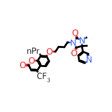 CCCc1c(OCCCCN2C(=O)N(C)C(C)(c3cccnc3)C2=O)ccc2c(C(F)(F)F)cc(=O)oc12